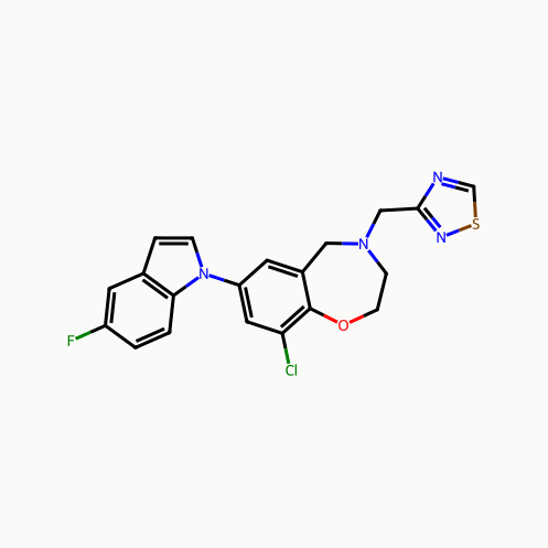 Fc1ccc2c(ccn2-c2cc(Cl)c3c(c2)CN(Cc2ncsn2)CCO3)c1